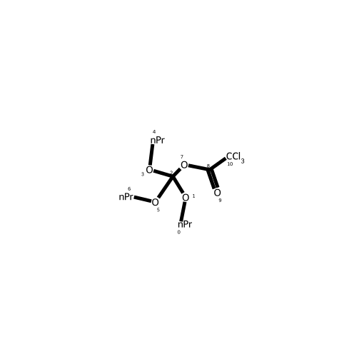 CCCOC(OCCC)(OCCC)OC(=O)C(Cl)(Cl)Cl